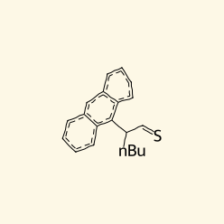 CCCCC(C=S)c1c2ccccc2cc2ccccc12